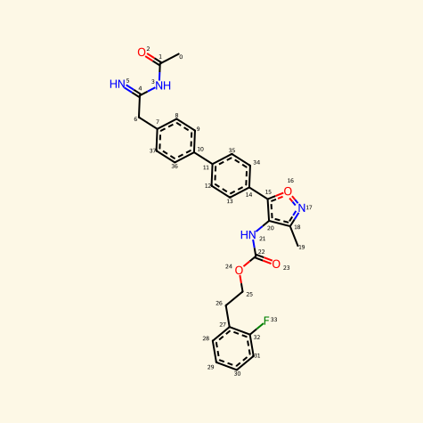 CC(=O)NC(=N)Cc1ccc(-c2ccc(-c3onc(C)c3NC(=O)OCCc3ccccc3F)cc2)cc1